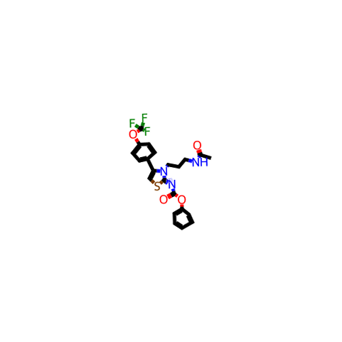 CC(=O)NCCCn1c(-c2ccc(OC(F)(F)F)cc2)cs/c1=N\C(=O)Oc1ccccc1